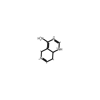 NC1=C2CN=CCC2NC=N1